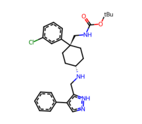 CC(C)(C)OC(=O)NC[C@]1(c2cccc(Cl)c2)CC[C@@H](NCc2[nH]ncc2-c2ccccc2)CC1